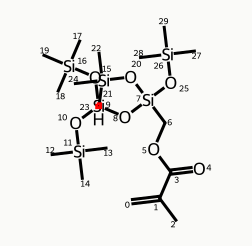 C=C(C)C(=O)OC[Si](O[SiH](O[Si](C)(C)C)O[Si](C)(C)C)(O[Si](C)(C)C)O[Si](C)(C)C